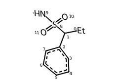 CCC(c1ccccc1)S([NH])(=O)=O